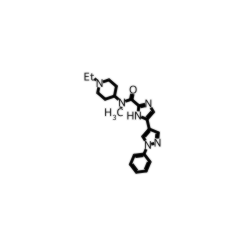 CCN1CCC(N(C)C(=O)c2ncc(-c3cnn(-c4ccccc4)c3)[nH]2)CC1